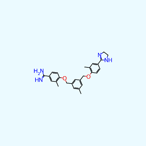 Cc1cc(COc2ccc(C(=N)N)cc2C)cc(COc2ccc(C3=NCCN3)cc2C)c1